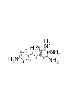 Nc1cc(CCC2CCC(N)CC2)c(N)c(N)c1N